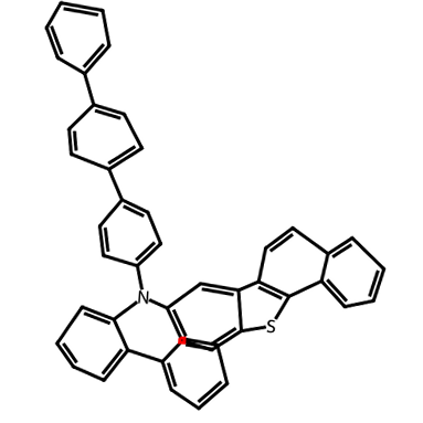 c1ccc(-c2ccc(-c3ccc(N(c4ccc5sc6c7ccccc7ccc6c5c4)c4ccccc4-c4ccccc4)cc3)cc2)cc1